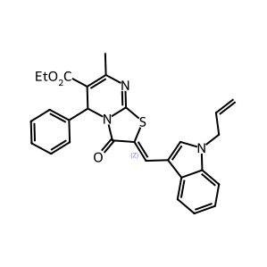 C=CCn1cc(/C=c2\sc3n(c2=O)C(c2ccccc2)C(C(=O)OCC)=C(C)N=3)c2ccccc21